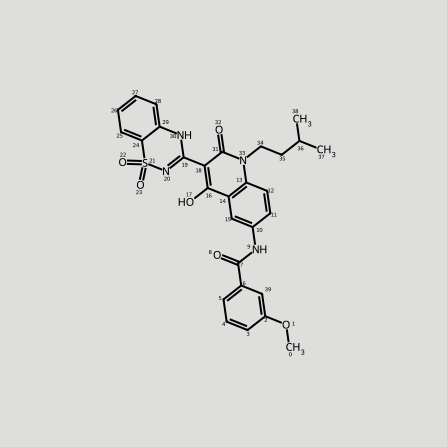 COc1cccc(C(=O)Nc2ccc3c(c2)c(O)c(C2=NS(=O)(=O)c4ccccc4N2)c(=O)n3CCC(C)C)c1